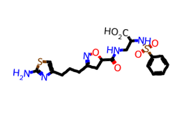 Nc1nc(CCCC2=NOC(C(=O)NCC(NS(=O)(=O)c3ccccc3)C(=O)O)C2)cs1